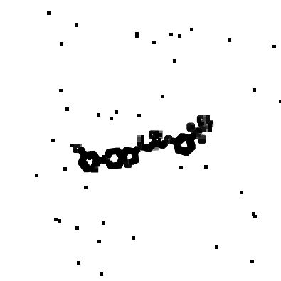 CNS(=O)(=O)c1cccc(OC[C@@H](O)CNC2COC3(CCN(c4cc(Cl)ccn4)CC3)C2)c1